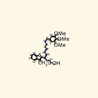 COc1cc(/C=C\CC/C=C/C=C(/CCCO)c2sc3ccccc3c2C)cc(OC)c1OC